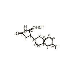 Cl.O=C1CC(N2C=Nc3cc(F)ccc3C2)C(=O)N1